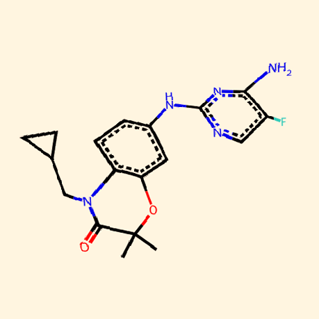 CC1(C)Oc2cc(Nc3ncc(F)c(N)n3)ccc2N(CC2CC2)C1=O